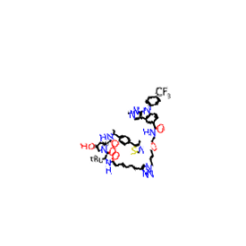 Cc1ncsc1-c1ccc(C(C)NC(=O)[C@@H]2C[C@@H](O)CN2C(=O)C(NC(=O)CCCCCc2cn(CCCCOCCNC(=O)c3ccc4c(c3)c3cn(C)nc3n4-c3ccc(C(F)(F)F)cc3)nn2)C(C)(C)C)cc1